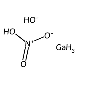 O=[N+]([O-])O.[GaH3].[OH-]